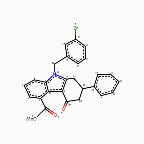 COC(=O)c1cccc2c1c1c(n2Cc2cccc(Br)c2)CC(c2ccccc2)CC1=O